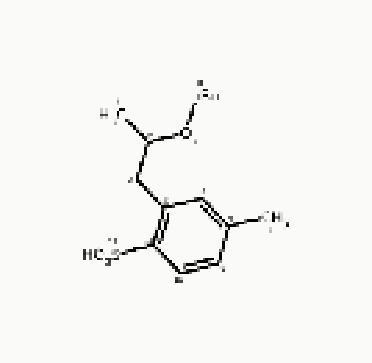 CCCCOC(C)Cc1cc(C)ccc1S(=O)(=O)O